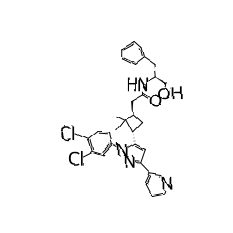 CC1(C)[C@@H](CC(=O)N[C@H](CO)Cc2ccccc2)C[C@@H]1c1cc(-c2cccnc2)nn1-c1ccc(Cl)c(Cl)c1